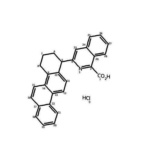 Cl.O=C(O)c1nc(C2CCCc3c2ccc2c3ccc3ccccc32)cc2ccccc12